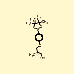 C[C@@H](CO)COc1ccc(B2OC(C)(C)C(C)(C)O2)cc1